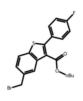 CCCCOC(=O)c1c(-c2ccc(F)cc2)sc2ccc(CBr)cc12